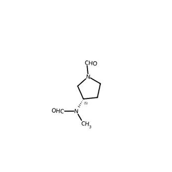 CN(C=O)[C@H]1CCN(C=O)C1